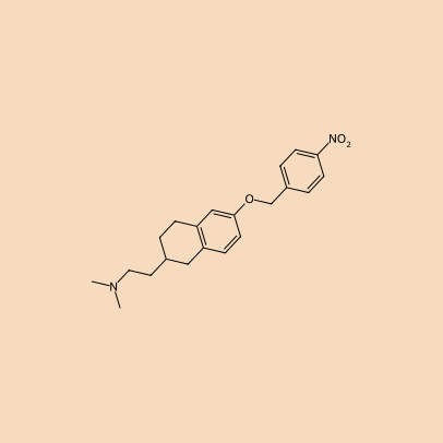 CN(C)CCC1CCc2cc(OCc3ccc([N+](=O)[O-])cc3)ccc2C1